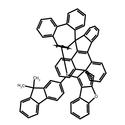 CC1(C)c2ccccc2-c2ccc(N(C3=c4c(oc5ccccc45)=C=C3)c3ccc4c(c3)C3(c5ccccc5-c5ccccc5-4)c4ccccc4-c4c3c3ccccc3c3ccccc43)cc21